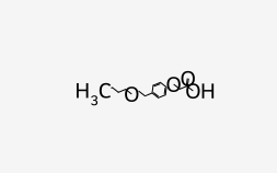 CCCCOCCc1ccc(OCC(=O)O)cc1